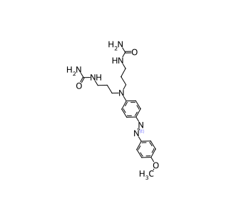 COc1ccc(/N=N/c2ccc(N(CCCNC(N)=O)CCCNC(N)=O)cc2)cc1